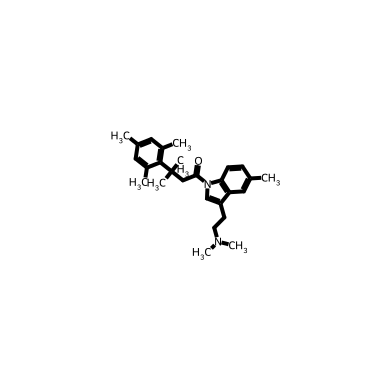 Cc1cc(C)c(C(C)(C)CC(=O)n2cc(CCN(C)C)c3cc(C)ccc32)c(C)c1